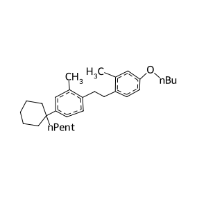 CCCCCC1(c2ccc(CCc3ccc(OCCCC)cc3C)c(C)c2)CCCCC1